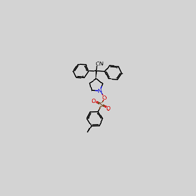 Cc1ccc(S(=O)(=O)ON2CC[C@@H](C(C#N)(c3ccccc3)c3ccccc3)C2)cc1